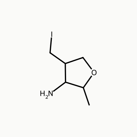 CC1OCC(CI)C1N